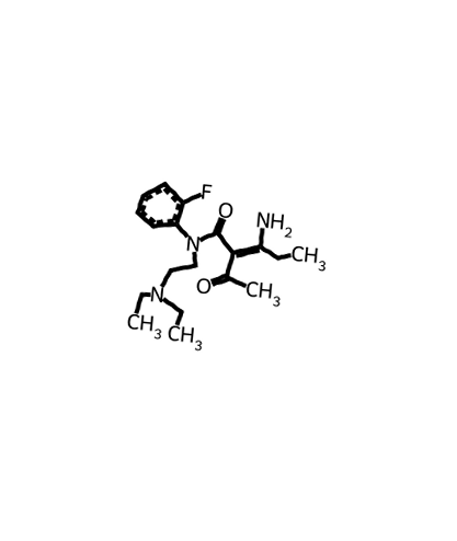 CCC(N)=C(C(C)=O)C(=O)N(CCN(CC)CC)c1ccccc1F